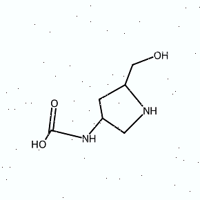 O=C(O)NC1CNC(CO)C1